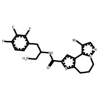 NCC(Cc1ccc(F)c(F)c1F)NC(=O)c1cc2c(s1)CCCn1ncc(Br)c1-2